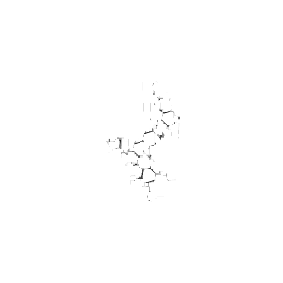 C=CC(=O)Nc1cncc(C)c1Nc1cc2cc(NC3CCOC3)c(C(=O)c3c(F)c(OC)cc(OC)c3F)nc2cn1